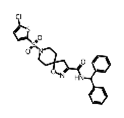 O=C(NC(c1ccccc1)c1ccccc1)C1=NOC2(CCN(S(=O)(=O)c3ccc(Cl)s3)CC2)C1